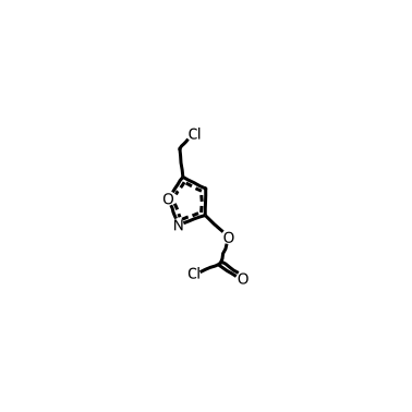 O=C(Cl)Oc1cc(CCl)on1